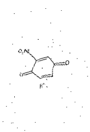 O=C1C=CC(=O)C([N+](=O)[O-])=C1.[H+]